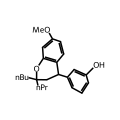 CCCCC1(CCC)CC(c2cccc(O)c2)c2ccc(OC)cc2O1